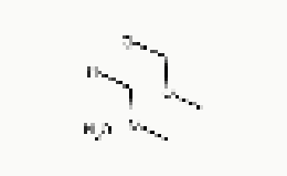 COCCl.COCCl.O